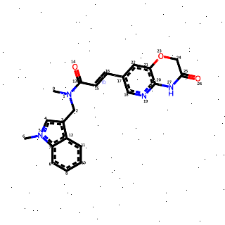 CN(Cc1cn(C)c2ccccc12)C(=O)/C=C/c1cnc2c(c1)OCC(=O)N2